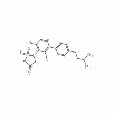 CC(C)CNc1ccc(-c2ccc(O)c(N3CC(=O)NS3(=O)=O)c2F)cc1